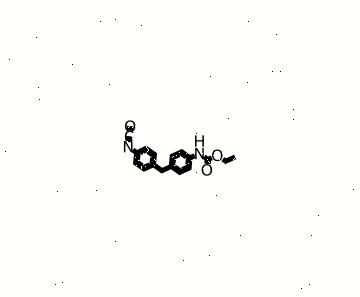 CCOC(=O)Nc1ccc(Cc2ccc(N=C=O)cc2)cc1